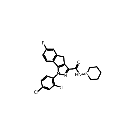 O=C(NN1CCCCC1)c1nn(-c2ccc(Cl)cc2Cl)c2c1Cc1cc(F)ccc1-2